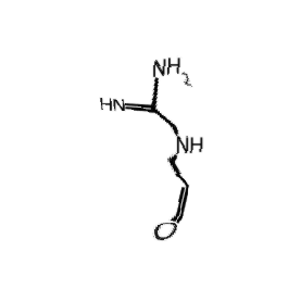 N=C(N)NCC=C=O